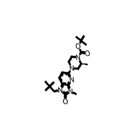 C[C@H]1CN(c2ccc3c(n2)n(C)c(=O)n3CC(C)(C)C)CCN1C(=O)OC(C)(C)C